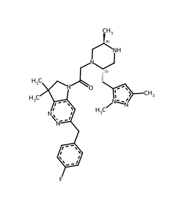 Cc1cc(C[C@H]2CN[C@H](C)CN2CC(=O)N2CC(C)(C)c3nnc(Cc4ccc(F)cc4)cc32)n(C)n1